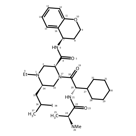 CCN1C[C@@H](C(=O)N[C@@H]2CCOc3ccccc32)N(C(=O)[C@@H](NC(=O)[C@H](C)NC)C2CCCCC2)C[C@H]1CC(C)I